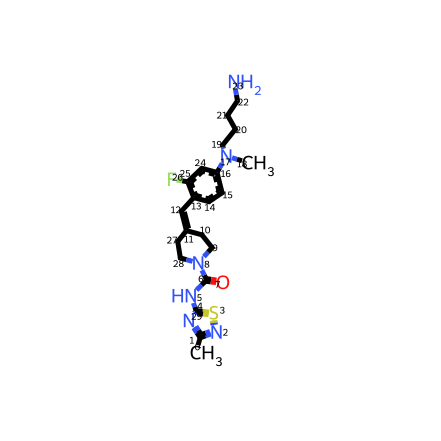 Cc1nsc(NC(=O)N2CCC(=Cc3ccc(N(C)CCCCN)cc3F)CC2)n1